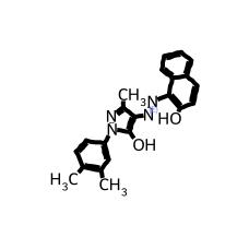 Cc1ccc(-n2nc(C)c(/N=N/c3c(O)ccc4ccccc34)c2O)cc1C